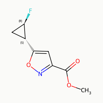 COC(=O)c1cc([C@@H]2C[C@H]2F)on1